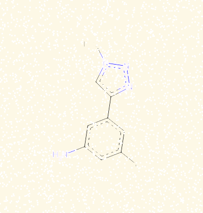 Cc1cc(N)cc(-c2cn(C)nn2)c1